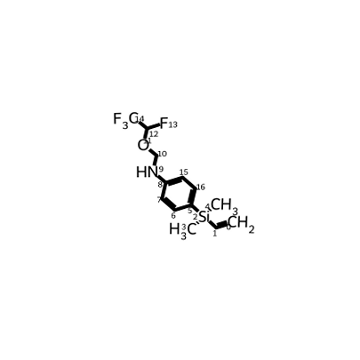 C=C[Si](C)(C)c1ccc(NCOC(F)C(F)(F)F)cc1